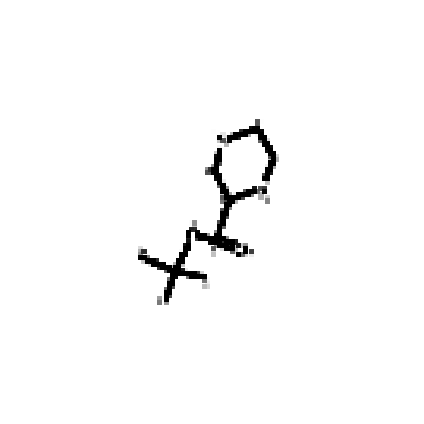 CC(C)(C)OC(=O)C1CSCCS1